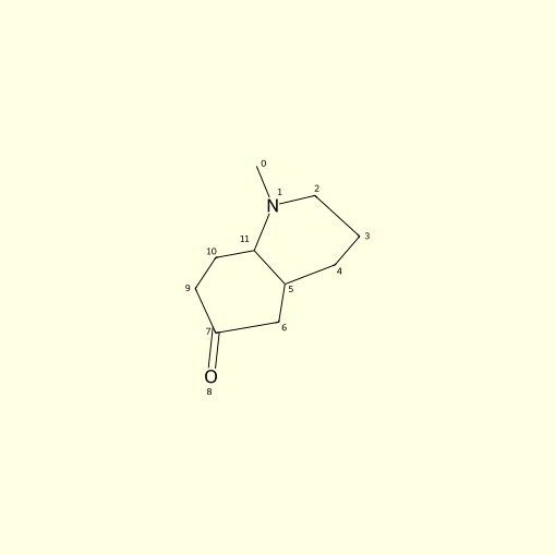 CN1CCCC2CC(=O)CCC21